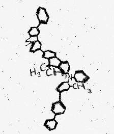 CC1C=C(c2ccc(-c3ccccc3)cc2)C=CC1N(c1ccccc1)c1ccc2c(c1)C(C)(C)c1cc(-c3ccc4sc5ccc(-c6ccccc6)cc5c4c3)ccc1-2